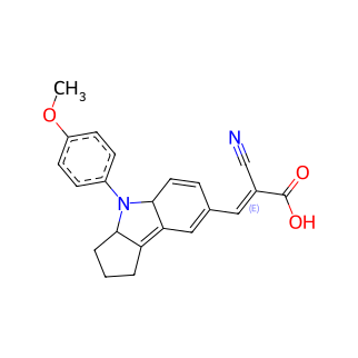 COc1ccc(N2C3C=CC(/C=C(\C#N)C(=O)O)=CC3=C3CCCC32)cc1